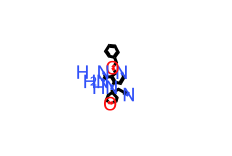 N#CCC1(Nc2ccnc(OCc3ccccc3)c2C(=N)N)CCOCC1